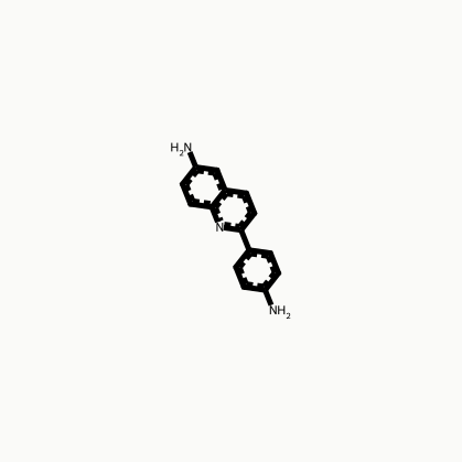 Nc1ccc(-c2ccc3cc(N)ccc3n2)cc1